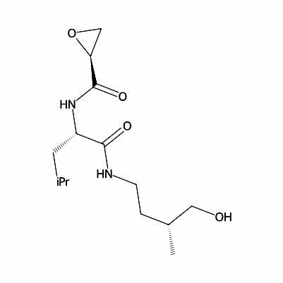 CC(C)C[C@H](NC(=O)[C@@H]1CO1)C(=O)NCC[C@@H](C)CO